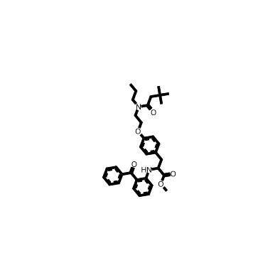 CCCN(CCOc1ccc(CC(Nc2ccccc2C(=O)c2ccccc2)C(=O)OC)cc1)C(=O)CC(C)(C)C